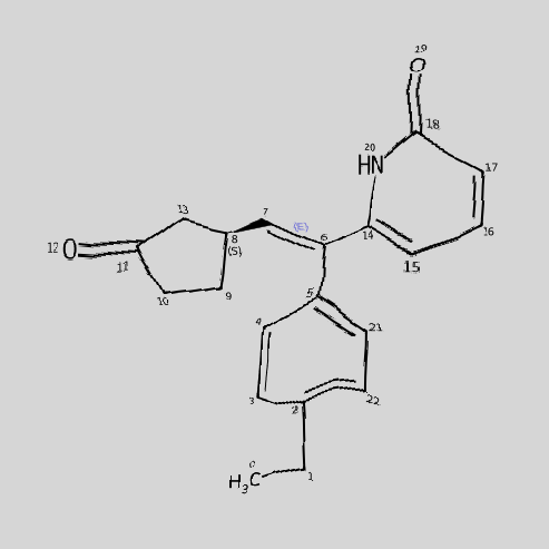 CCc1ccc(/C(=C\[C@H]2CCC(=O)C2)c2cccc(=O)[nH]2)cc1